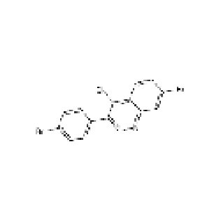 Clc1c(-c2ccc(Br)cc2)cnc2cc(Br)ccc12